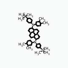 Cc1ccc(N(c2ccc([Si](C)(C)C)cc2)c2ccc3ccc4c(N(c5ccc([Si](C)(C)C)cc5)c5ccc(C)c(C)c5)ccc5ccc2c3c54)cc1C